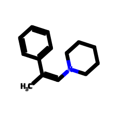 CC(=CN1CCCCC1)c1ccccc1